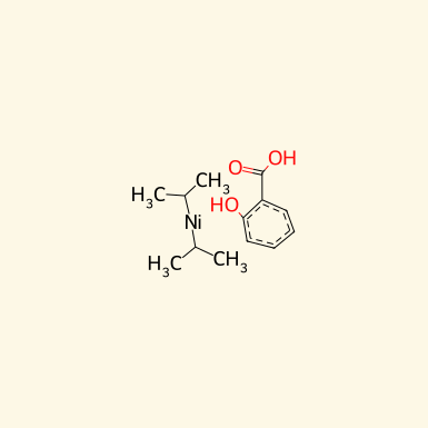 C[CH](C)[Ni][CH](C)C.O=C(O)c1ccccc1O